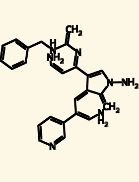 C=C(/N=C(\C=C/N)c1cn(N)c(=C)/c1=C\C(=C/N)c1cccnc1)NCc1ccccc1